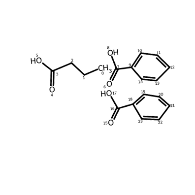 CCCC(=O)O.O=C(O)c1ccccc1.O=C(O)c1ccccc1